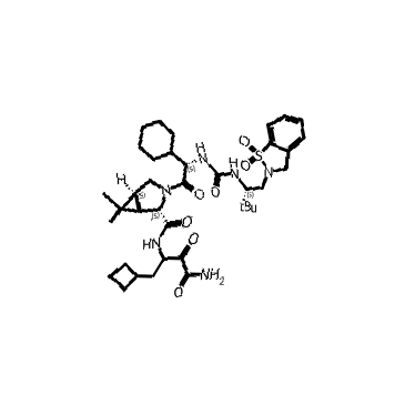 CC(C)(C)[C@@H](CN1Cc2ccccc2S1(=O)=O)NC(=O)N[C@H](C(=O)N1C[C@H]2C([C@H]1C(=O)NC(CC1CCC1)C(=O)C(N)=O)C2(C)C)C1CCCCC1